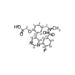 CN(Cc1ccc(OCC(=O)O)c(-c2cncnc2)c1)S(=O)(=O)c1ccc(F)cc1